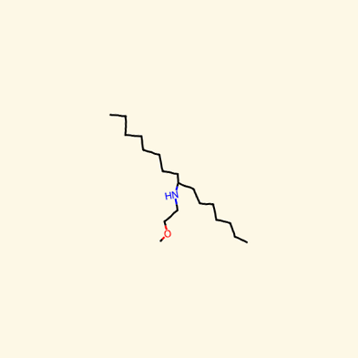 CCCCCCCCC(CCCCCCC)NCCOC